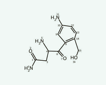 NC(=O)CC(N)C(=O)c1cc(N)ccc1CO